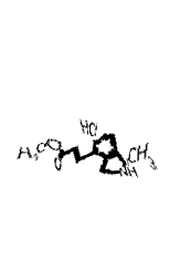 COC(=O)CCc1cccc2c1CCN[C@H]2C.Cl